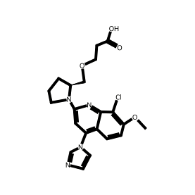 COc1ccc2c(-n3ccnc3)cc(N3CCC[C@H]3COCCC(=O)O)nc2c1Cl